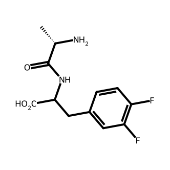 C[C@H](N)C(=O)NC(Cc1ccc(F)c(F)c1)C(=O)O